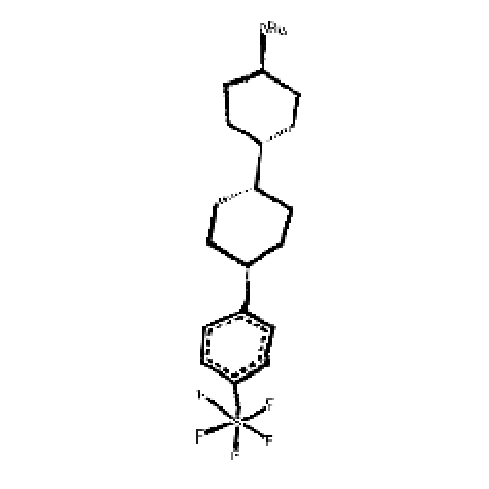 CCCC[C@H]1CC[C@H]([C@H]2CC[C@H](c3ccc(S(F)(F)(F)(F)F)cc3)CC2)CC1